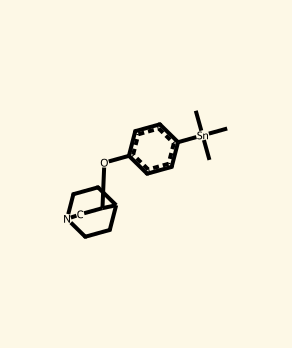 [CH3][Sn]([CH3])([CH3])[c]1ccc(OC2CN3CCC2CC3)cc1